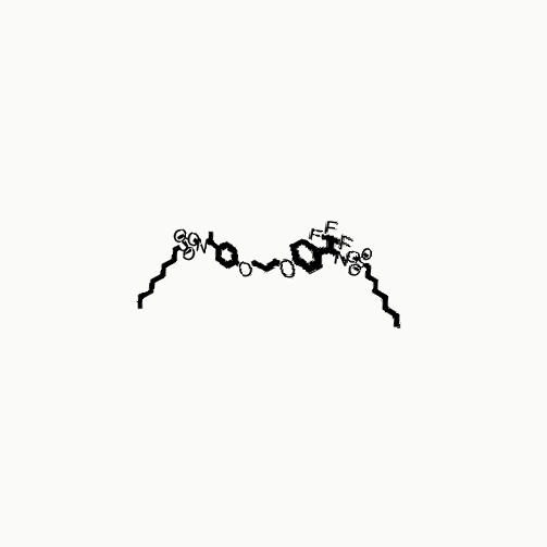 CCCCCCCCS(=O)(=O)O/N=C(/c1ccc(OCCCOc2ccc(/C(C)=N/OS(=O)(=O)CCCCCCCC)cc2)cc1)C(F)(F)F